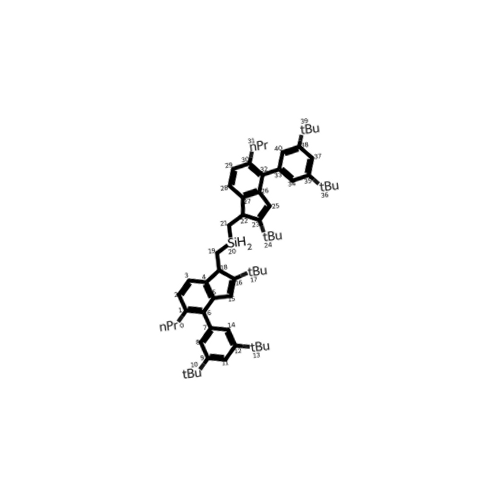 CCCc1ccc2c(c1-c1cc(C(C)(C)C)cc(C(C)(C)C)c1)C=C(C(C)(C)C)C2C[SiH2]CC1C(C(C)(C)C)=Cc2c1ccc(CCC)c2-c1cc(C(C)(C)C)cc(C(C)(C)C)c1